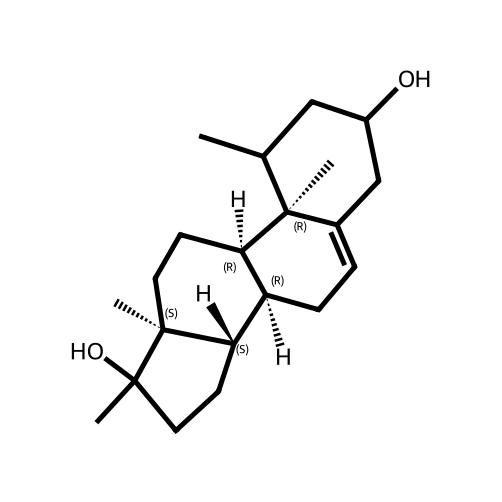 CC1CC(O)CC2=CC[C@@H]3[C@@H](CC[C@@]4(C)[C@H]3CCC4(C)O)[C@]21C